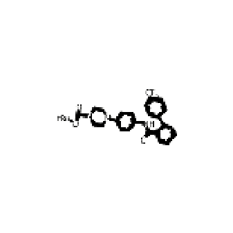 CC(C)(C)OC(=O)N1CCN(c2ccc(NC(=O)c3ccccc3-c3ccc(C(F)(F)F)cc3)cc2)CC1